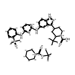 CC(C)(C)C1CC(c2n[nH]c3ccc(Nc4nccc(Nc5ccccc5P(C)(C)=O)n4)cc23)CCN1C(=O)O.CC(C)(C)OC(=O)N1CCCCC1